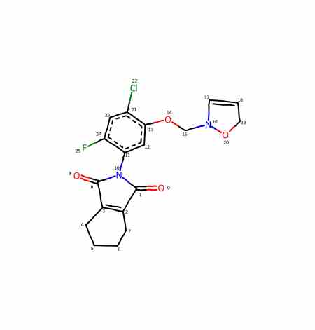 O=C1C2=C(CCCC2)C(=O)N1c1cc(OCN2C=CCO2)c(Cl)cc1F